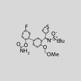 COCOc1ccc(-c2cc(F)ccc2OC(N)=O)cc1C(=N[S+]([O-])C(C)(C)C)c1ccsc1